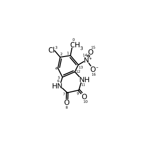 Cc1c(Cl)cc2[nH]c(=O)c(=O)[nH]c2c1[N+](=O)[O-]